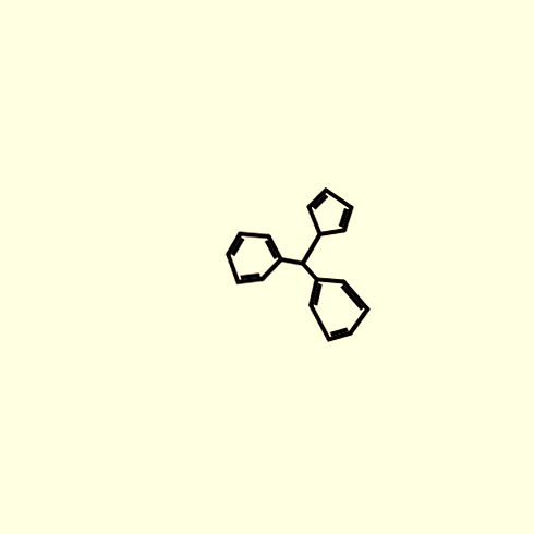 C1=CC([C](c2ccccc2)c2ccccc2)C=C1